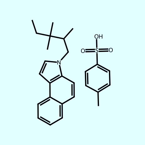 CCC(C)(C)C(C)Cn1ccc2c3ccccc3ccc21.Cc1ccc(S(=O)(=O)O)cc1